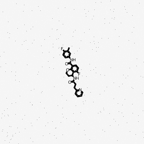 Cc1cc(NC(=O)c2ccc(F)c3c2OCCC3NC(=O)CCc2ccccn2)ccc1F